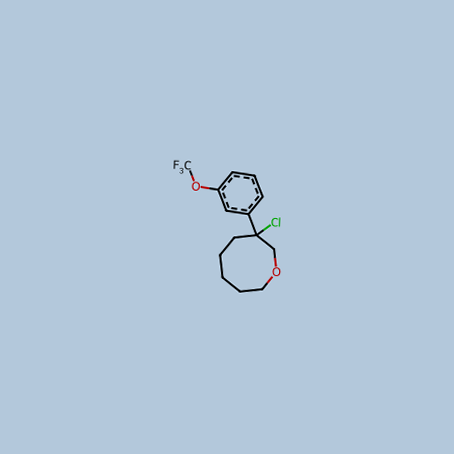 FC(F)(F)Oc1cccc(C2(Cl)CCCCCOC2)c1